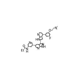 CCC(=O)Nc1cncc(-c2cnc3[nH]nc(-c4cc5c(-c6cc(F)cc(OCCN(C)C)c6)ccnc5[nH]4)c3c2)c1